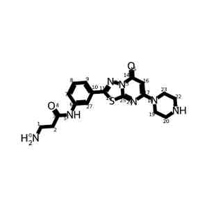 NCCC(=O)Nc1cccc(-c2nn3c(=O)cc(N4CCNCC4)nc3s2)c1